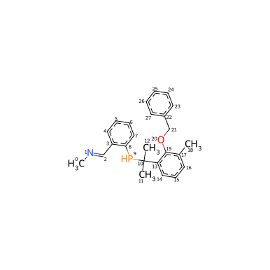 C/N=C/c1ccccc1PC(C)(C)c1cccc(C)c1OCc1ccccc1